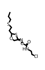 CCCSCCC1OCC(=NOC(=O)NCCCl)S1